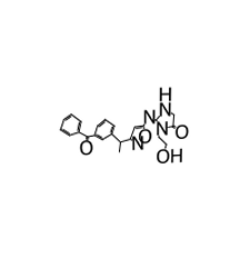 CC(c1cccc(C(=O)c2ccccc2)c1)c1cc(N=C2NCC(=O)N2CCO)on1